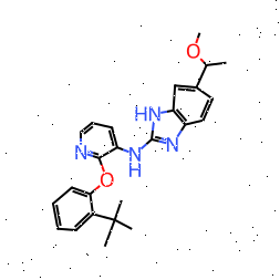 COC(C)c1ccc2nc(Nc3cccnc3Oc3ccccc3C(C)(C)C)[nH]c2c1